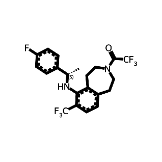 C[C@H](Nc1c(C(F)(F)F)ccc2c1CCN(C(=O)C(F)(F)F)CC2)c1ccc(F)cc1